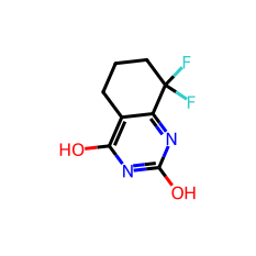 Oc1nc(O)c2c(n1)C(F)(F)CCC2